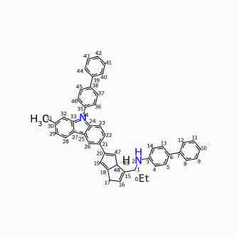 CC[C@@H](Nc1ccc(-c2ccccc2)cc1)C1=CCC2=CC(c3ccc4c(c3)c3ccc(C)cc3n4-c3ccc(-c4ccccc4)cc3)=C[C@H]21